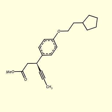 CC#C[C@@H](CC(=O)OC)c1ccc(OCCC2CCCC2)cc1